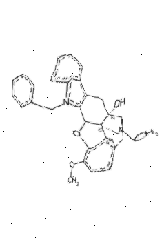 COc1ccc2c3c1OC1c4c(c5ccccc5n4Cc4ccccc4)C[C@@]4(O)C(C2)N(C)CC[C@]314